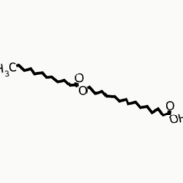 CCCCCCCCCCCC(=O)OCCCCCCCCCCCCCCC(=O)O